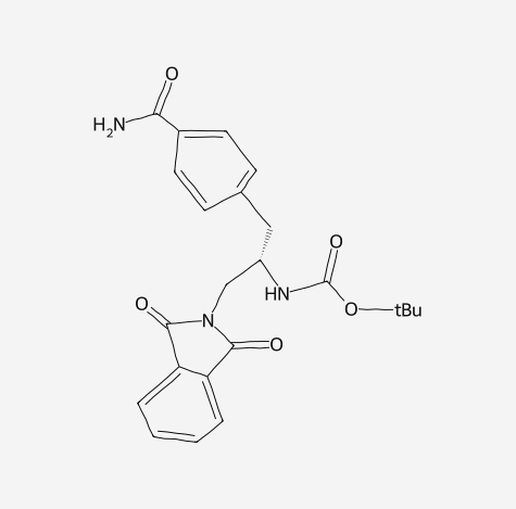 CC(C)(C)OC(=O)N[C@@H](Cc1ccc(C(N)=O)cc1)CN1C(=O)c2ccccc2C1=O